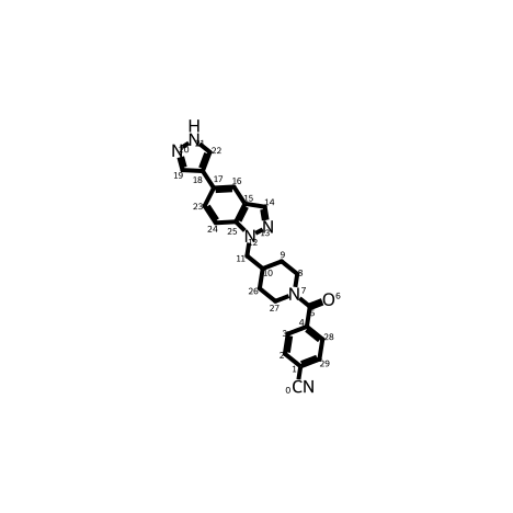 N#Cc1ccc(C(=O)N2CCC(Cn3ncc4cc(-c5cn[nH]c5)ccc43)CC2)cc1